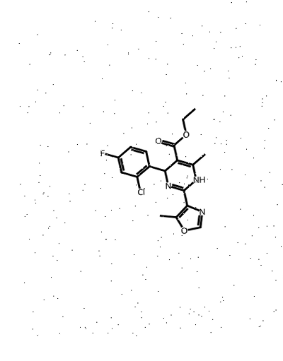 CCOC(=O)C1=C(C)NC(c2ncoc2C)=NC1c1ccc(F)cc1Cl